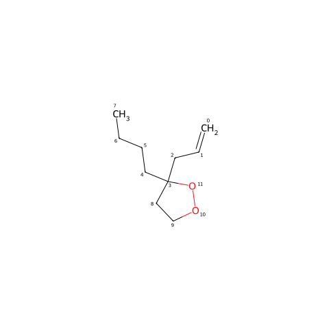 C=CCC1(CCCC)CCOO1